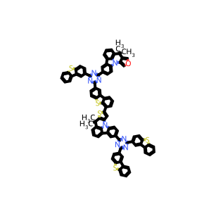 CC1(C)c2cocc2-n2c3ccc(-c4nc(-c5ccc6sc7ccccc7c6c5)nc(-c5ccc6sc7c(-c8cc9c(s8)C(C)(C)c8cccc%10c%11cc(-c%12nc(-c%13ccc%14sc%15ccccc%15c%14c%13)nc(-c%13ccc%14sc%15ccccc%15c%14c%13)n%12)ccc%11n-9c8%10)cccc7c6c5)n4)cc3c3cccc1c32